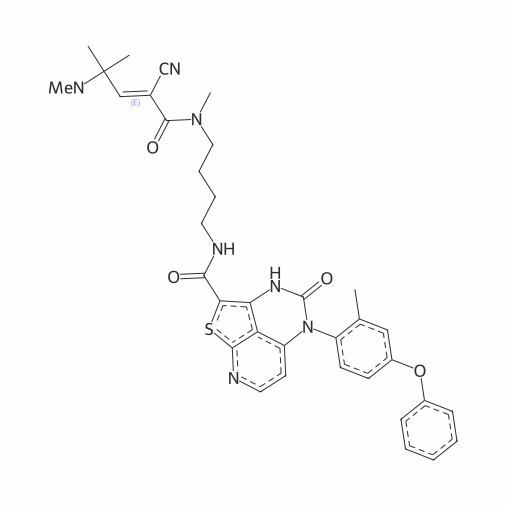 CNC(C)(C)/C=C(\C#N)C(=O)N(C)CCCCNC(=O)c1sc2nccc3c2c1NC(=O)N3c1ccc(Oc2ccccc2)cc1C